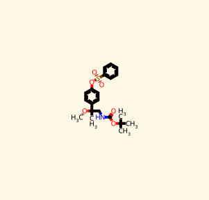 COC(C)(CNC(=O)OC(C)(C)C)c1ccc(OS(=O)(=O)c2ccccc2)cc1